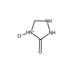 O=C1NNC[NH+]1[O-]